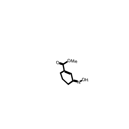 COC(=O)C1=C/C(=N\O)CCC1